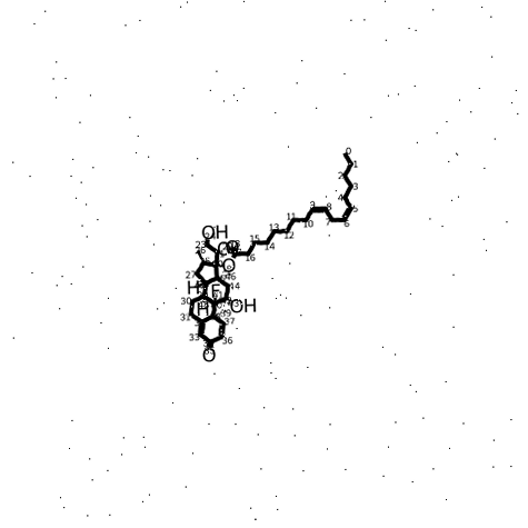 CCCCC/C=C\C/C=C\CCCCCCCC(=O)O[C@]1(C(=O)CO)[C@H](C)C[C@H]2[C@@H]3CCC4=CC(=O)C=C[C@]4(C)[C@@]3(F)[C@@H](O)C[C@@]21C